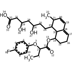 CCC(Oc1ccc(F)cc1)C(=O)OC1CCC=C2C=CC(C)C(CCC(O)CC(O)CC(=O)O)C21